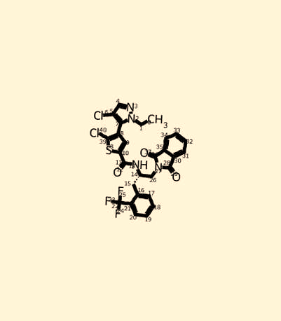 CCn1ncc(Cl)c1-c1cc(C(=O)N[C@@H](Cc2ccccc2C(F)(F)F)CN2C(=O)c3ccccc3C2=O)sc1Cl